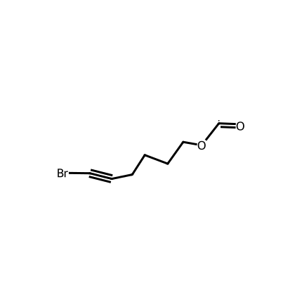 O=[C]OCCCCC#CBr